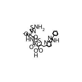 CON=C(C(=O)NC1C(=O)N2C(C(=O)O)=C(Cc3ccc4[nH]c(-c5ccccc5)nc4n3)CS[C@@H]12)c1csc(N)n1